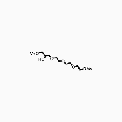 CNCCOCCOCCOCC(O)COC